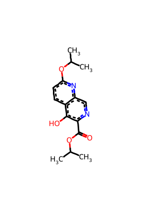 CC(C)OC(=O)c1ncc2nc(OC(C)C)ccc2c1O